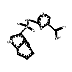 O=C(O)c1csc(NS(=O)(=O)c2c[nH]c3ccccc23)n1